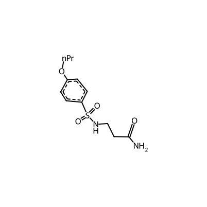 CCCOc1ccc(S(=O)(=O)NCCC(N)=O)cc1